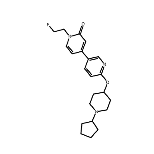 O=c1cc(-c2ccc(OC3CCN(C4CCCC4)CC3)nc2)ccn1CCF